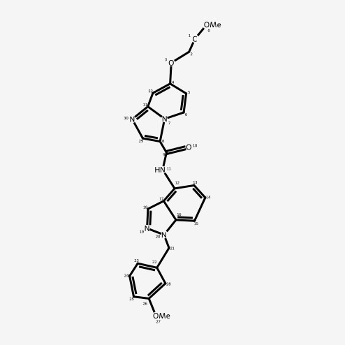 COCCOc1ccn2c(C(=O)Nc3cccc4c3cnn4Cc3cccc(OC)c3)cnc2c1